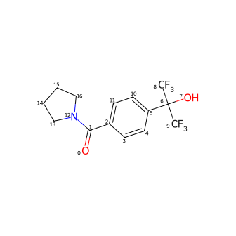 O=C(c1ccc(C(O)(C(F)(F)F)C(F)(F)F)cc1)N1CCCC1